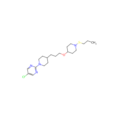 CCCSN1CCC(OCCCC2CCN(c3ncc(Cl)cn3)CC2)CC1